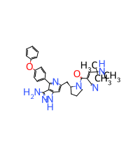 CNC(C)(C)C=C(C#N)C(=O)N1CCC[C@H]1Cc1cc2[nH]nc(N)c2c(-c2ccc(Oc3ccccc3)cc2)n1